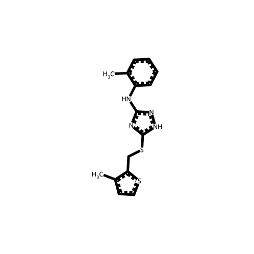 Cc1ccccc1Nc1n[nH]c(SCc2sccc2C)n1